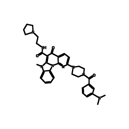 CN(C)c1cccc(C(=O)N2CCN(c3ccc4c(=O)c(C(=O)NCCN5CCCC5)c5n(C)c6ccccc6n5c4n3)CC2)c1